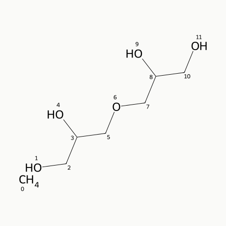 C.OCC(O)COCC(O)CO